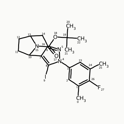 Cc1cc(-n2nc3c(c2I)C2CCC(C3)N2C(=O)OC(C)(C)C)cc(C)c1F